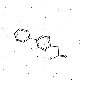 O=C(S)Cc1ncc(-c2ccccc2)cn1